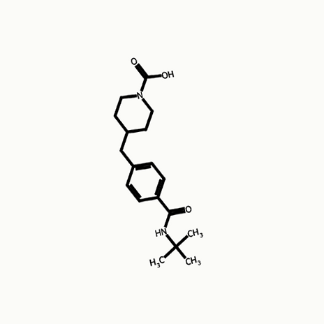 CC(C)(C)NC(=O)c1ccc(CC2CCN(C(=O)O)CC2)cc1